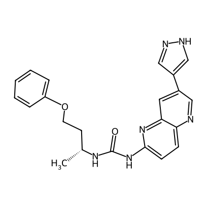 C[C@H](CCOc1ccccc1)NC(=O)Nc1ccc2ncc(-c3cn[nH]c3)cc2n1